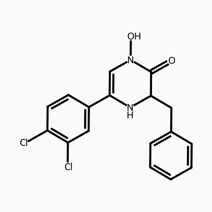 O=C1C(Cc2ccccc2)NC(c2ccc(Cl)c(Cl)c2)=CN1O